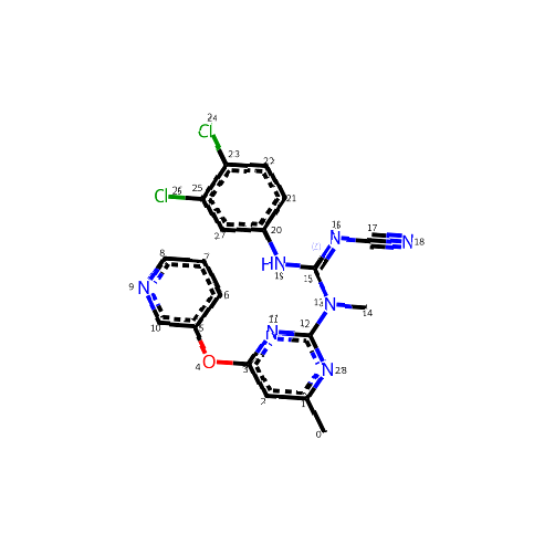 Cc1cc(Oc2cccnc2)nc(N(C)/C(=N\C#N)Nc2ccc(Cl)c(Cl)c2)n1